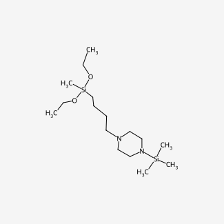 CCO[Si](C)(CCCCN1CCN([Si](C)(C)C)CC1)OCC